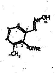 COc1c(C)cccc1C=NO